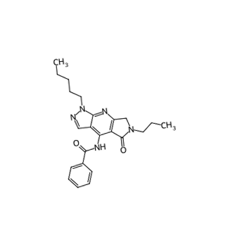 CCCCCn1ncc2c(NC(=O)c3ccccc3)c3c(nc21)CN(CCC)C3=O